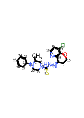 CC1CN(C(=S)N/N=C2/CCOc3c(Cl)ccnc32)CCN1C1C=CC=CC1